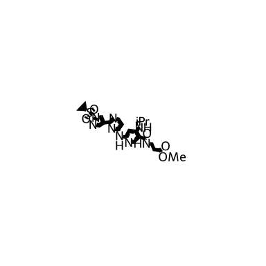 COC(=O)CCNC(=O)c1cnc(Nc2ccnc(-c3cnn(S(=O)(=O)C4CC4)c3)n2)cc1NC(C)C